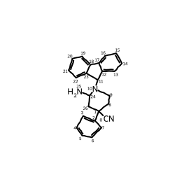 N#CC1(c2ccccc2)CCN(C2c3ccccc3-c3ccccc32)C(N)C1